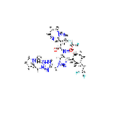 CN1CCC[C@@H]1Cn1nnc(Cn2cc(NC(=O)c3cnn4cccnc34)c(-c3cc(CC(F)F)ccc3OC(F)F)n2)n1